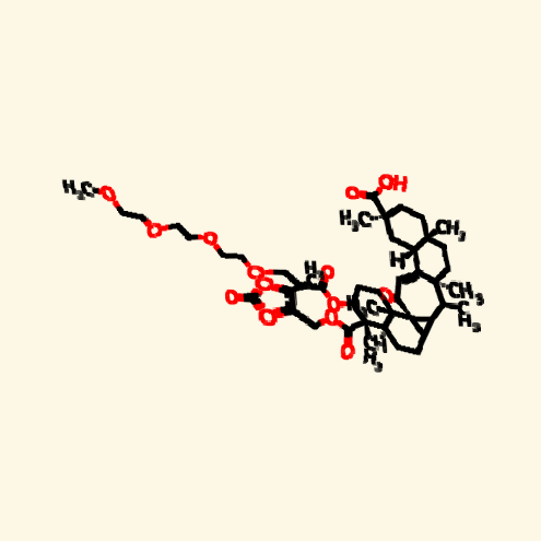 COCCOCCOCCOCCC(=O)O[C@H]1CC[C@@]2(C)[C@@H](CCC3C4[C@H](C)[C@]5(C)CC[C@@]6(C)CC[C@](C)(C(=O)O)C[C@H]6C5=CC(=O)[C@]342)[C@]1(C)C(=O)OCc1oc(=O)oc1C